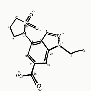 CCn1ncc2c(N3CCCS3(=O)=O)cc(C(=O)O)cc21